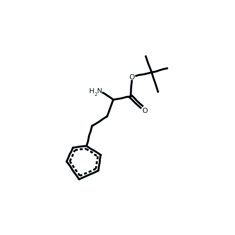 CC(C)(C)OC(=O)C(N)CCc1ccccc1